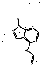 Cn1ncc2c(NC=O)ncnc21